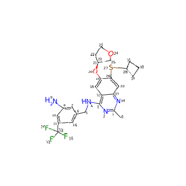 Cc1nc(NCc2cc(N)cc(C(F)(F)F)c2)c2cc(O[C@H]3CCOC3)c(SC3CCC3)cc2n1